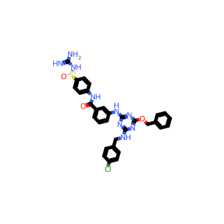 N=C(N)N[S+]([O-])c1ccc(NC(=O)c2cccc(Nc3nc(NCc4ccc(Cl)cc4)nc(OCc4ccccc4)n3)c2)cc1